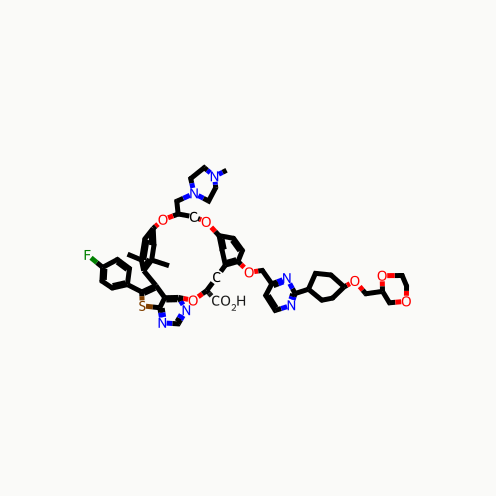 Cc1cc2cc(C)c1-c1c(-c3ccc(F)cc3)sc3ncnc(c13)OC(C(=O)O)Cc1cc(ccc1OCc1ccnc(C3CCC(OCC4COCCO4)CC3)n1)OCC(CN1CCN(C)CC1)O2